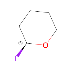 I[C@H]1CCCCO1